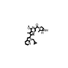 COc1nc(C(=O)N2CC3N[C@H]3C2C)cn2nc(-c3cc4cccnc4n3CC3CC3)c(C)c12